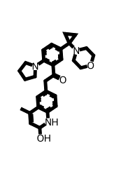 CC1=CC(O)Nc2ccc(CC(=O)c3cc(C4(N5CCOCC5)CC4)ccc3N3CCCC3)cc21